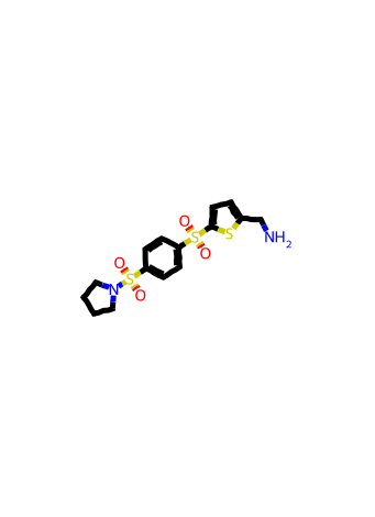 NCc1ccc(S(=O)(=O)c2ccc(S(=O)(=O)N3CCCC3)cc2)s1